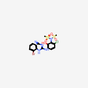 CS(=O)(=O)N(c1c(Cl)ccc(NC(=NC#N)Nc2ccccc2Br)c1O)S(C)(=O)=O